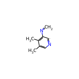 C=Nc1[c]ncc(C)c1C